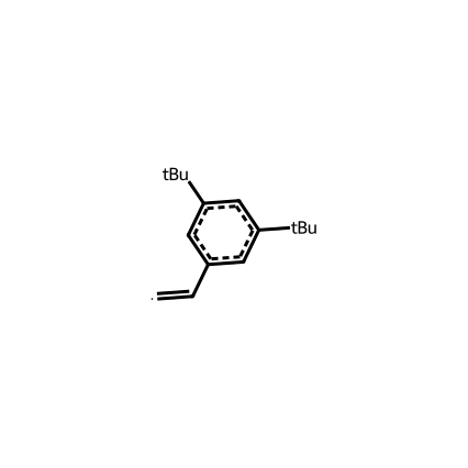 [CH]=Cc1cc(C(C)(C)C)cc(C(C)(C)C)c1